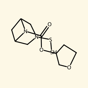 O=C(OC1CCOC1)N1C2CC1CN(SS)C2